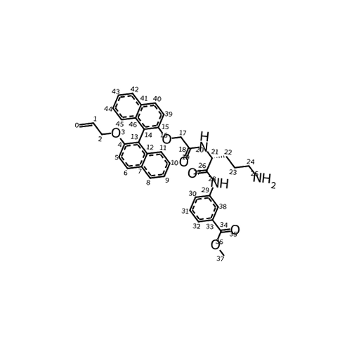 C=CCOc1ccc2ccccc2c1-c1c(OCC(=O)N[C@H](CCCN)C(=O)Nc2cccc(C(=O)OC)c2)ccc2ccccc12